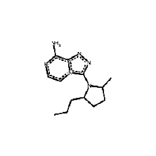 CCCC1CCC(C)N1c1nnc2c(N)nccn12